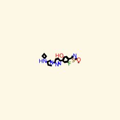 COc1ncc(-c2cc(O)c(-c3ccc(N4CCC(NC5CCC5)C4)nn3)cc2F)s1